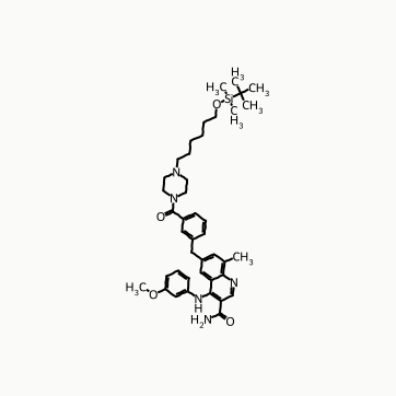 COc1cccc(Nc2c(C(N)=O)cnc3c(C)cc(Cc4cccc(C(=O)N5CCN(CCCCCCO[Si](C)(C)C(C)(C)C)CC5)c4)cc23)c1